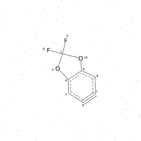 FC1(F)Oc2cc#ccc2O1